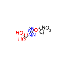 Cc1nc(OCC(C)c2ccccc2[N+](=O)[O-])c2ncn([C@H]3C[C@@H](O)[C@@H](CO)O3)c2n1